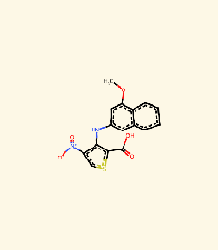 COc1cc(Nc2c([N+](=O)[O-])csc2C(=O)O)cc2ccccc12